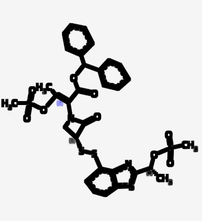 C/C(OS(C)(=O)=O)=C(\C(=O)OC(c1ccccc1)c1ccccc1)N1C[C@H](SSc2cccc3sc([C@@H](C)OS(C)(=O)=O)nc23)C1=O